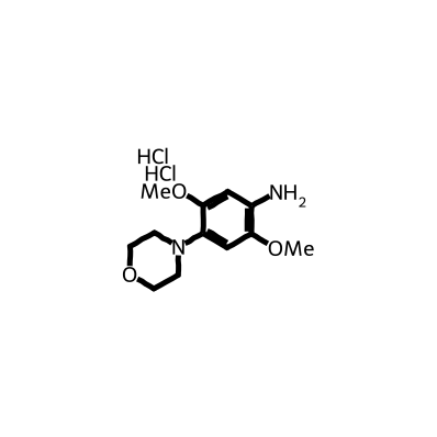 COc1cc(N2CCOCC2)c(OC)cc1N.Cl.Cl